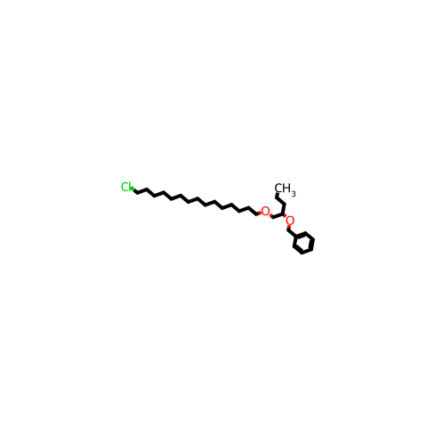 CCCC(COCCCCCCCCCCCCCCCCl)OCc1ccccc1